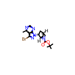 Cc1ncnc2c1c(Br)nn2[C@@H]1C[C@H]2C[C@@H]1N(C(=O)OC(C)(C)C)C2